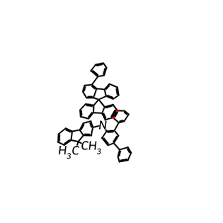 CC1(C)c2ccccc2-c2ccc(N(c3ccc(-c4ccccc4)cc3-c3ccccc3)c3cccc4c3-c3ccccc3C43c4ccccc4-c4c(-c5ccccc5)cccc43)cc21